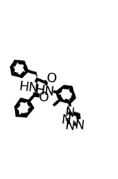 Cc1c(NC(=O)[C@@H](Cc2ccccc2)NC(=O)c2ccccc2)cccc1-n1cnnn1